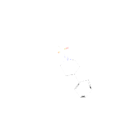 CS(=O)(=O)N1CCC(c2ccccc2)CC1